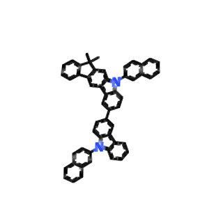 CC1(C)c2ccccc2-c2cc3c4cc(-c5ccc6c(c5)c5ccccc5n6-c5ccc6ccccc6c5)ccc4n(-c4ccc5ccccc5c4)c3cc21